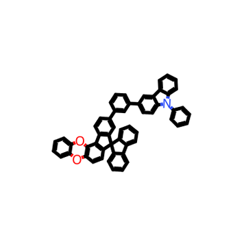 c1ccc(-n2c3ccccc3c3cc(-c4cccc(-c5ccc6c(c5)C5(c7ccccc7-c7ccccc75)c5ccc7c(c5-6)Oc5ccccc5O7)c4)ccc32)cc1